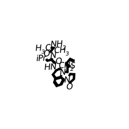 C=C1C(NC(=O)/C(CC(C)C)=N/C(=O)C(C)(C)N)Cc2cccc(N3CCCC3=O)c2N1Cc1cccs1